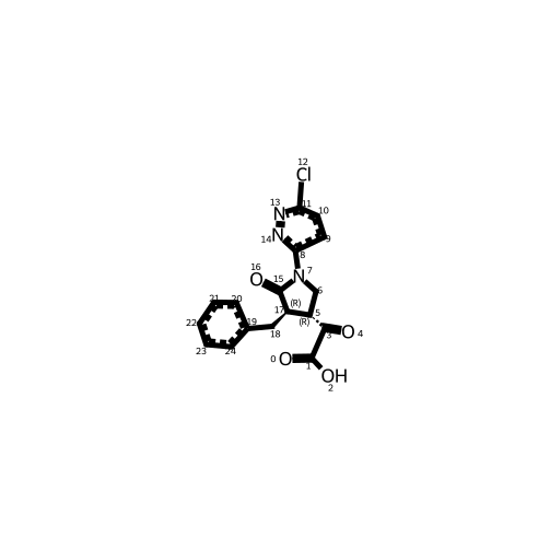 O=C(O)C(=O)[C@H]1CN(c2ccc(Cl)nn2)C(=O)[C@@H]1Cc1ccccc1